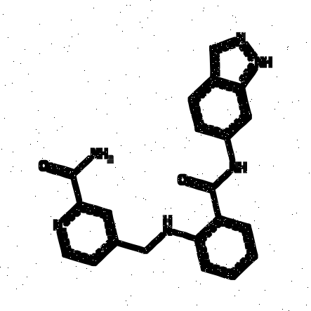 NC(=O)c1cc(CNc2ccccc2C(=O)Nc2ccc3cn[nH]c3c2)ccn1